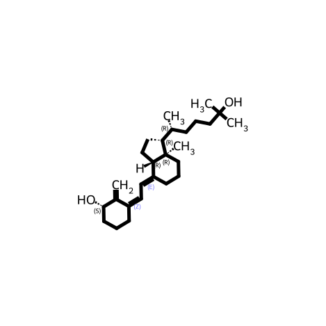 C=C1/C(=C\C=C2/CCC[C@]3(C)[C@@H]([C@H](C)CCCC(C)(C)O)CC[C@@H]23)CCC[C@@H]1O